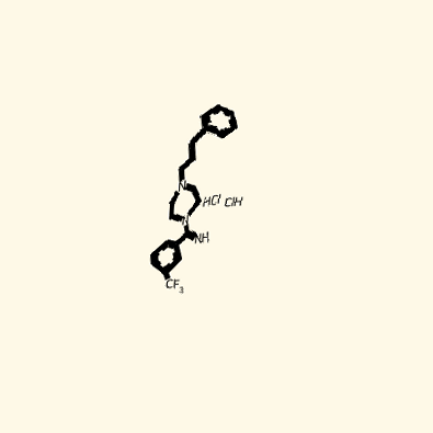 Cl.Cl.N=C(c1cccc(C(F)(F)F)c1)N1CCN(CCCc2ccccc2)CC1